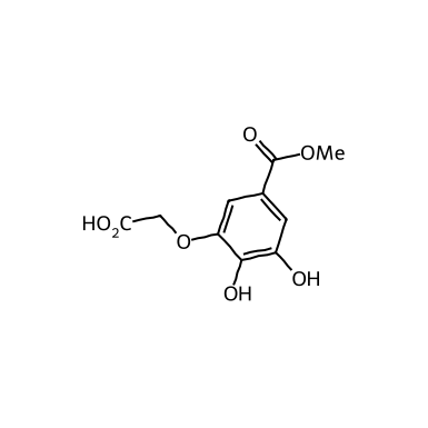 COC(=O)c1cc(O)c(O)c(OCC(=O)O)c1